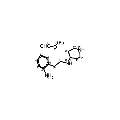 CC(C)(C)OC=O.Nc1ccccc1CCNC1CCNCC1